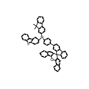 CC1(C)c2ccccc2-c2ccc(N(c3ccc(-c4ccc5c(c4)C4(c6ccccc6-5)c5ccc6ccccc6c5Oc5c4ccc4ccccc54)cc3)c3ccc4sc5ccccc5c4c3)cc21